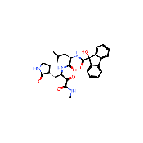 CNC(=O)C(=O)[C@@H](C[C@H]1CCNC1=O)NC(=O)[C@@H](CC(C)C)NC(=O)C1(O)c2ccccc2-c2ccccc21